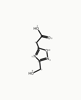 O=C(O)Cc1nc(CO)no1